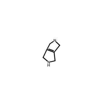 C1[N]CC2=C1CNC2